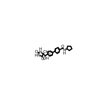 CC1(C(O)c2ccc(-c3ccc(C(=O)NC4CCCC4)cc3)cc2)NC(=O)NC1=O